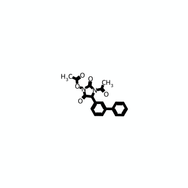 CC(=O)ON1C(=O)C(c2cccc(-c3ccccc3)c2)N(C(C)=O)C1=O